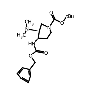 CN(C)[C@H]1CN(C(=O)OC(C)(C)C)CC[C@H]1NC(=O)OCc1ccccc1